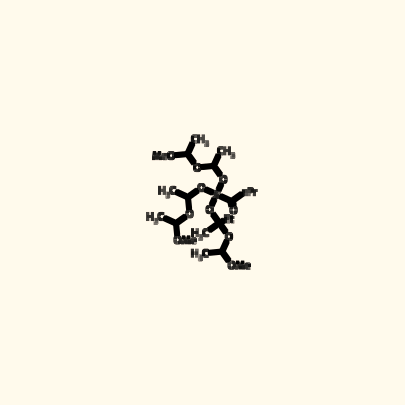 CCCC(=O)[Si](OC(C)OC(C)OC)(OC(C)OC(C)OC)OC(C)(CC)OC(C)OC